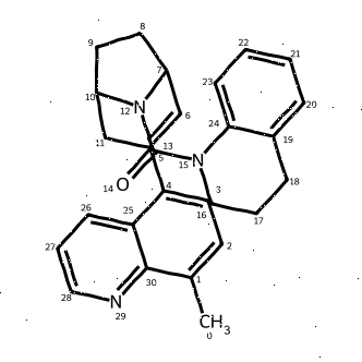 Cc1ccc(C2=CC3CCC(C2)N3C(=O)N2CCCc3ccccc32)c2cccnc12